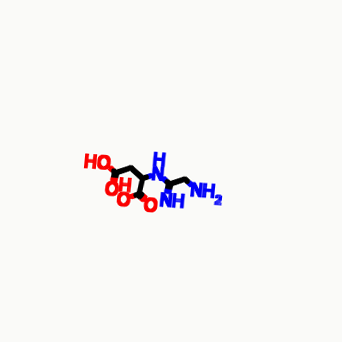 N=C(CN)NC(CC(=O)O)C(=O)O